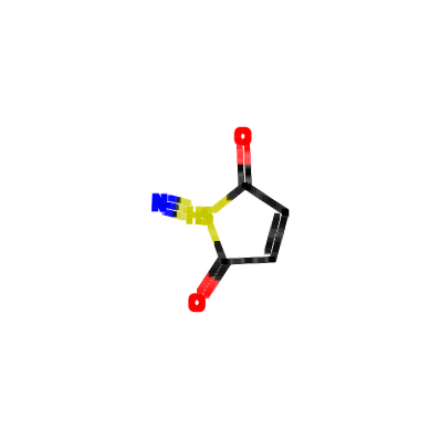 N#[SH]1C(=O)C=CC1=O